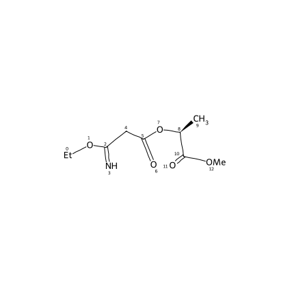 CCOC(=N)CC(=O)O[C@@H](C)C(=O)OC